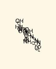 COc1cc(CN2CCN(C3CC4(C3)CN(c3ccc(C(=O)NS(=O)(=O)c5ccc(NCC6CCC(C)(O)CC6)c([N+](=O)[O-])c5)c(Oc5cnc6[nH]ccc6c5)c3)C4)C(c3ccccc3C(C)C)C2)ccc1C1CC1